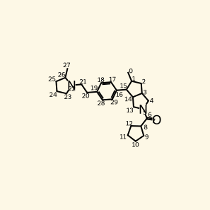 CC1CC2CN(C(=O)C3CCCC3)CC2C1c1ccc(CCN2CCCC2C)cc1